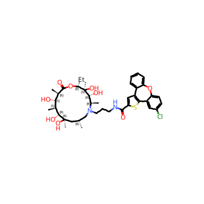 CC[C@H]1OC(=O)[C@H](C)[C@@H](O)[C@H](C)[C@@H](O)[C@](C)(O)C[C@@H](C)CN(CCCNC(=O)c2cc3c(s2)-c2cc(Cl)ccc2Oc2ccccc2-3)[C@H](C)[C@@H](O)[C@]1(C)O